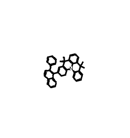 CC1(C)C2=C(CCC(c3c(-c4ccccc4)ccc4ccccc34)=C2)N2c3ccccc3C(C)(C)c3cccc1c32